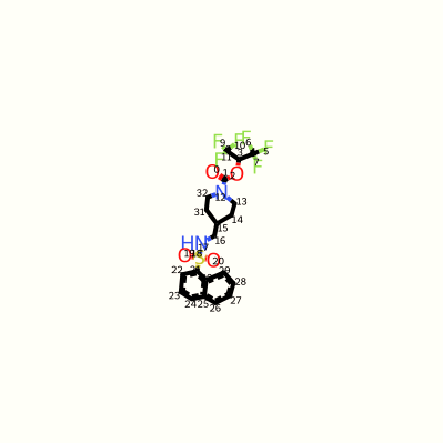 O=C(OC(C(F)(F)F)C(F)(F)F)N1CCC(CNS(=O)(=O)c2cccc3ccccc23)CC1